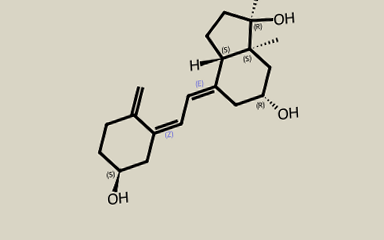 C=C1CC[C@H](O)C/C1=C/C=C1\C[C@@H](O)C[C@@]2(C)[C@H]1CC[C@]2(O)C(C)=O